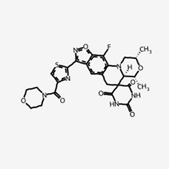 C[C@H]1CN2c3c(cc4c(-c5nc(C(=O)N6CCOCC6)cs5)noc4c3F)CC3(C(=O)NC(=O)NC3=O)[C@@H]2[C@@H](C)O1